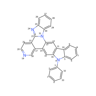 c1ccc(-n2c3ccccc3c3cc4c(cc32)c2cnccc2c2nc3ccccc3n42)cc1